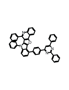 c1ccc(-c2cc(-c3ccc(-c4cccc5c4c4oc6c7ccccc7nc(-c7ccccc7)c6c4n5-c4ccccc4)cc3)nc(-c3ccccc3)n2)cc1